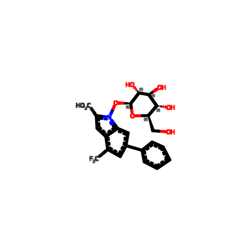 O=C(O)c1cc2c(C(F)(F)F)cc(-c3ccccc3)cc2n1O[C@@H]1O[C@H](CO)[C@@H](O)[C@H](O)[C@H]1O